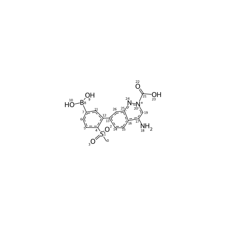 CS(=O)(=O)c1ccc(B(O)O)cc1-c1ccc2c(N)c[n+](C(=O)O)nc2c1